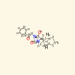 C[C@H]1C[C@@H]2C[C@H](C1)CC(C)(C1(C)C(=O)N(CC(=O)c3ccccc3)C(=O)N1C)C2